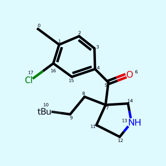 Cc1ccc(C(=O)C2(CCC(C)(C)C)CCNC2)cc1Cl